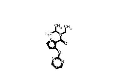 CCN(C(=O)c1sccc1Oc1ncccn1)C(C)C